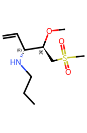 C=C[C@@H](NCCC)[C@H](CS(C)(=O)=O)OC